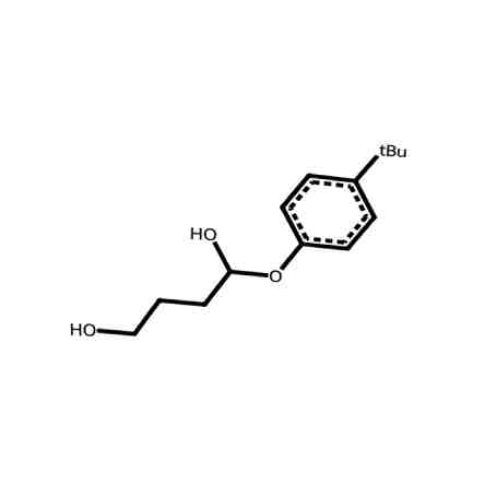 CC(C)(C)c1ccc(OC(O)CCCO)cc1